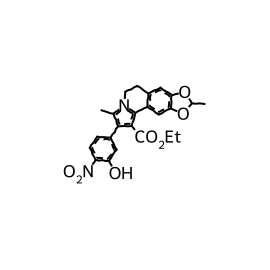 CCOC(=O)c1c(-c2ccc([N+](=O)[O-])c(O)c2)c(C)n2c1-c1cc3c(cc1CC2)OC(C)O3